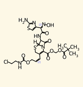 CC(C)(C)C(=O)OCOC(=O)C1=C(/C=C\COC(=O)NCCCl)CS[C@@H]2C(NC(=O)/C(=N\O)c3csc(N)n3)C(=O)N12